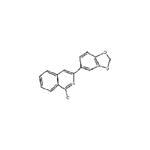 Clc1nc(-c2ccc3c(c2)OCO3)cc2ccccc12